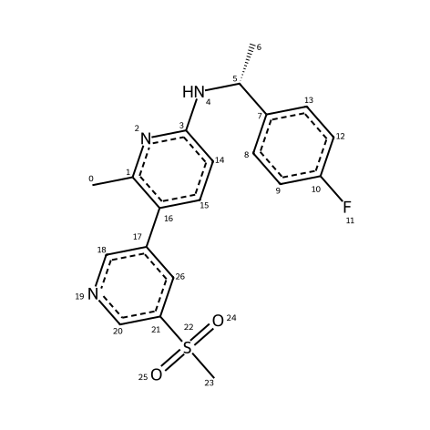 Cc1nc(N[C@H](C)c2ccc(F)cc2)ccc1-c1cncc(S(C)(=O)=O)c1